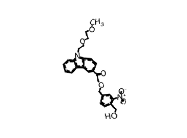 COCCOCCn1c2ccccc2c2cc(C(=O)COCc3ccc(CO)c([N+](=O)[O-])c3)ccc21